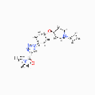 CN(C)C(=O)c1cn(-c2ccc(OC3CCN(C4CCC4)CC3)cc2)nn1